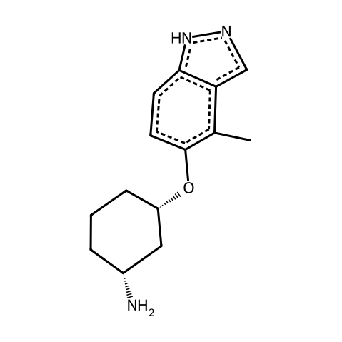 Cc1c(O[C@H]2CCC[C@@H](N)C2)ccc2[nH]ncc12